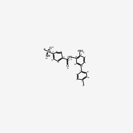 Cc1ccc(-c2ccc(N)c(NC(=O)c3ccc(S(C)(=N)=O)cc3)c2)cc1